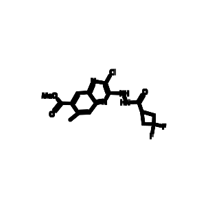 COC(=O)c1cc2nc(Cl)c(NNC(=O)C3CC(F)(F)C3)nc2cc1C